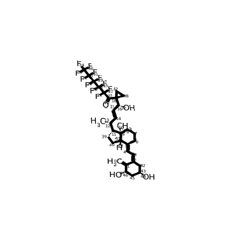 C=C1/C(=C\C=C2/CCC[C@]3(C)[C@@H]([C@H](C)/C=C/[C@@H](O)C4(C(=O)C(F)(F)C(F)(F)C(F)(F)C(F)(F)C(F)(F)F)CC4)CC[C@@H]23)C[C@@H](O)C[C@@H]1O